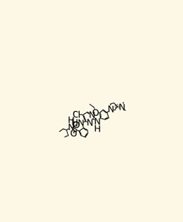 CCOc1cc(N2CC[C@H](N(C)C)C2)ccc1Nc1ncc(Cl)c(Nc2ccccc2S(=O)(=O)NC(CC)CC)n1